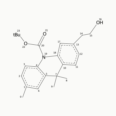 Cc1ccc2c(c1)C(C)(C)c1ccc(CCO)cc1N2C(=O)OC(C)(C)C